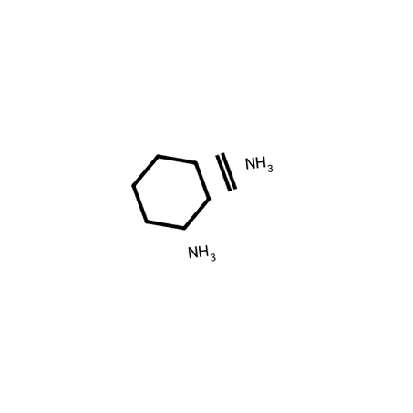 C1CCCCC1.C=C.N.N